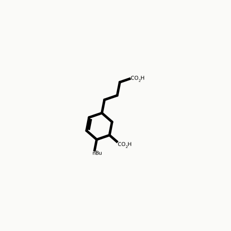 CCCCC1C=CC(CCCC(=O)O)CC1C(=O)O